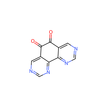 O=C1C(=O)c2cncnc2-c2ncncc21